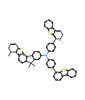 CC1CC=Cc2sc3c4c(ccc3c21)C(C)(C)c1cc(N(c2ccc(C3=c5sc6ccccc6c5=CC[C@@H]3C)cc2)c2ccc(-c3cccc5c3sc3ccccc35)cc2)ccc1-4